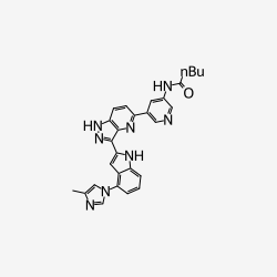 CCCCC(=O)Nc1cncc(-c2ccc3[nH]nc(-c4cc5c(-n6cnc(C)c6)cccc5[nH]4)c3n2)c1